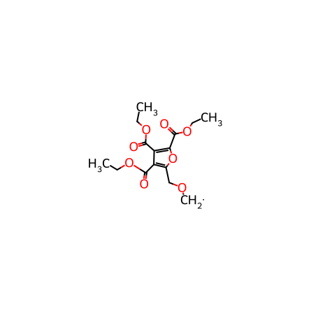 [CH2]OCc1oc(C(=O)OCC)c(C(=O)OCC)c1C(=O)OCC